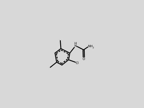 Cc1cc(C)c(NC(N)=O)c(Cl)c1